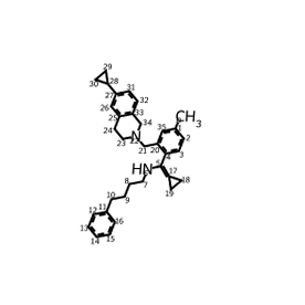 Cc1ccc(C(NCCCCc2ccccc2)=C2CC2)c(CN2CCc3cc(C4CC4)ccc3C2)c1